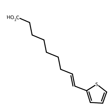 O=C(O)CCCCCC/C=C/c1cccs1